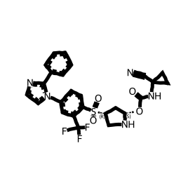 N#CC1(NC(=O)O[C@H]2C[C@@H](S(=O)(=O)c3ccc(-n4ccnc4-c4ccccc4)cc3C(F)(F)F)CN2)CC1